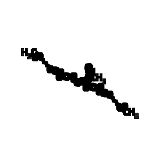 C=CC(=O)OCCCCCCOc1ccc(OC(=O)C2CCC(C(=O)Cc3ccc4cc(OC(=O)C5CCC(C(=O)Oc6ccc(OCCCCCCOC(=O)C=C)cc6)CC5)c(/C=N/N(C)c5nc6ccccc6s5)cc4c3)CC2)cc1